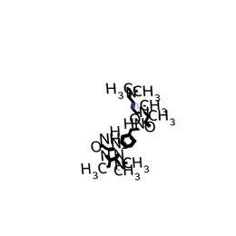 CCc1nc(C(N)=O)c(Nc2cccc(CCNC(=O)C(C)N(C)C(=O)/C=C/CN(C)C)c2)nc1N(C)C